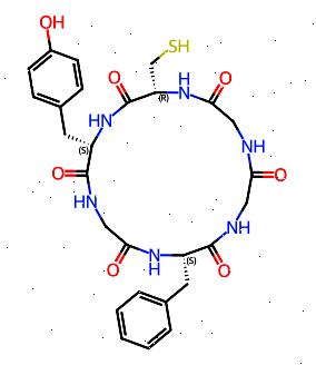 O=C1CNC(=O)[C@H](Cc2ccccc2)NC(=O)CNC(=O)[C@H](Cc2ccc(O)cc2)NC(=O)[C@H](CS)NC(=O)CN1